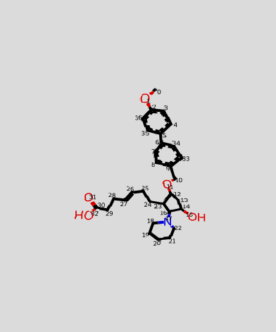 COc1ccc(-c2ccc(COC3CC(O)C(N4CCCCC4)C3CC/C=C/CCC(=O)O)cc2)cc1